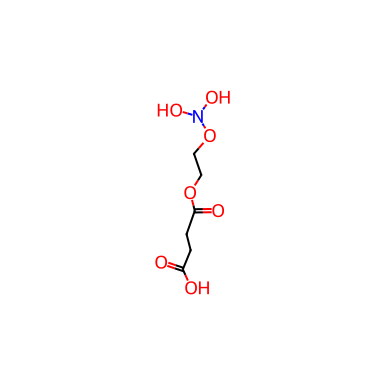 O=C(O)CCC(=O)OCCON(O)O